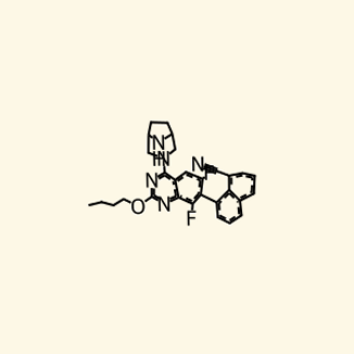 CCCCOc1nc(N2CC3CCC(C2)N3)c2cc(F)c(-c3cccc4cccc(C#N)c34)c(F)c2n1